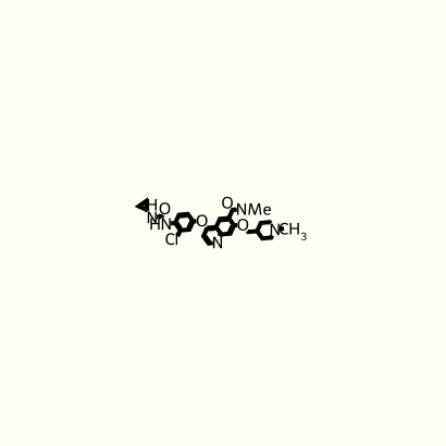 CNC(=O)c1cc2c(Oc3ccc(NC(=O)NC4CC4)c(Cl)c3)ccnc2cc1OCC1CCN(C)CC1